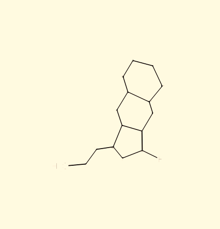 CCCC1CC(F)C2CC3CCCCC3CC12